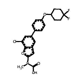 CN(C(=O)O)c1cc2cc(-c3ccc(OC4CCC(F)(F)CC4)cc3)cc(Cl)c2o1